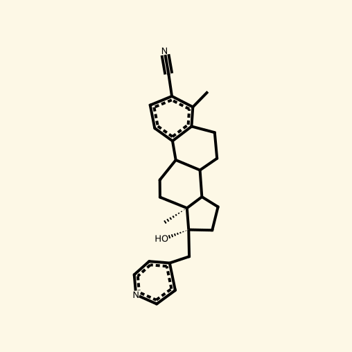 Cc1c(C#N)ccc2c1CCC1C2CC[C@@]2(C)C1CC[C@@]2(O)Cc1ccncc1